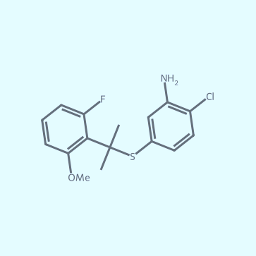 COc1cccc(F)c1C(C)(C)Sc1ccc(Cl)c(N)c1